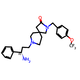 N[C@@H](CCN1CCC2(CC1)CC(=O)N(Cc1ccc(OC(F)(F)F)cc1)C2)c1ccccc1